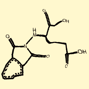 O=C(O)CCC(NN1C(=O)c2ccccc2C1=O)C(=O)O